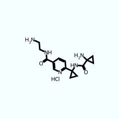 Cl.NCCNC(=O)c1ccc(C2(NC(=O)C3(N)CC3)CC2)nc1